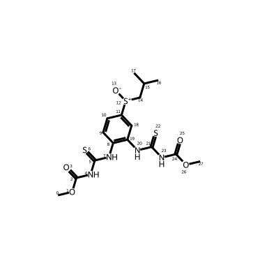 COC(=O)NC(=S)Nc1ccc([S+]([O-])CC(C)C)cc1NC(=S)NC(=O)OC